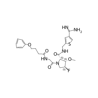 CO[C@H]1[C@@H](C(=O)NCc2cc(C(=N)N)cs2)N(C(=O)CNC(=O)CCCOc2ccccc2)C[C@@H]1F